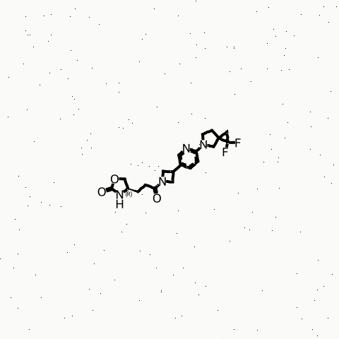 O=C1N[C@H](CCC(=O)N2CC(c3ccc(N4CCC5(C4)CC5(F)F)nc3)C2)CO1